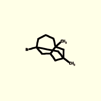 CC12CC3CC(Br)(CCCC3(C)C1)C2